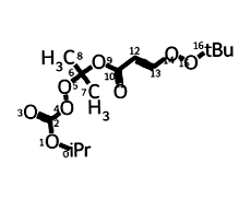 CC(C)OC(=O)OOC(C)(C)OC(=O)C=COOC(C)(C)C